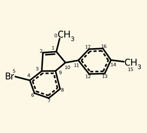 CC1=Cc2c(Br)cccc2C1c1ccc(C)cc1